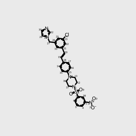 O=[N+]([O-])c1cccc(S(=O)(=O)N2CCN(c3ccc(C=Cc4cc(Cl)cc(Cn5ccnc5)c4)cc3)CC2)c1